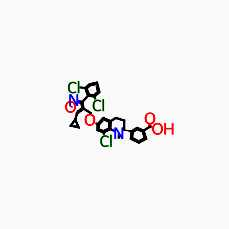 CN1c2c(Cl)cc(OCc3c(-c4c(Cl)cccc4Cl)noc3C3CC3)cc2CC[C@H]1c1cccc(C(=O)O)c1